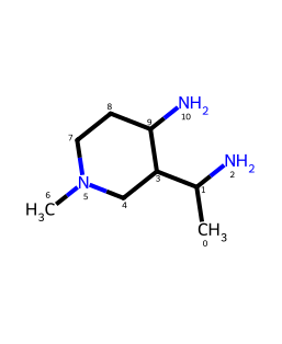 CC(N)C1CN(C)CCC1N